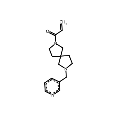 C=CC(=O)N1CCC2(CCN(Cc3cccnc3)C2)C1